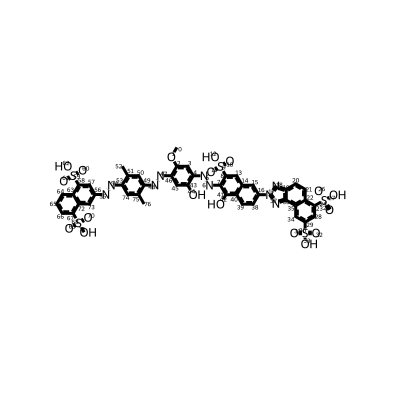 COc1cc(N=Nc2c(S(=O)(=O)O)cc3cc(-n4nc5ccc6c(S(=O)(=O)O)cc(S(=O)(=O)O)cc6c5n4)ccc3c2O)c(O)cc1N=Nc1cc(C)c(N=Nc2cc(S(=O)(=O)O)c3cccc(S(=O)(=O)O)c3c2)cc1C